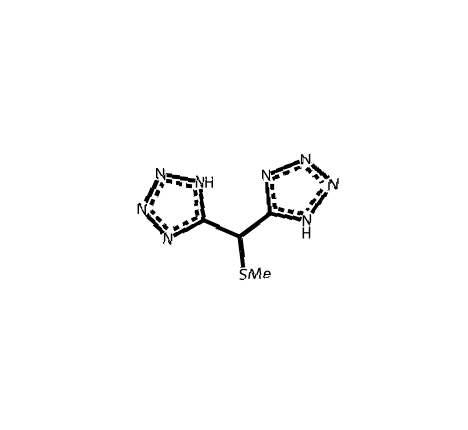 CSC(c1nnn[nH]1)c1nnn[nH]1